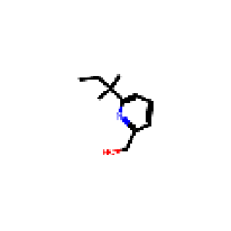 CCC(C)(C)c1cccc(CO)n1